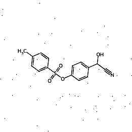 Cc1ccc(S(=O)(=O)Oc2ccc(C(O)C#N)cc2)cc1